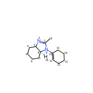 CC1=NC2CCCC[C@@H]2N1C1=CCCCC1